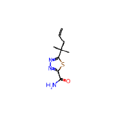 C=CCC(C)(C)c1nnc(C(N)=O)s1